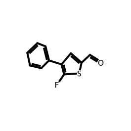 O=Cc1cc(-c2ccccc2)c(F)s1